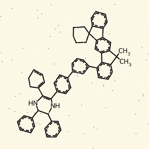 CC1(C)c2cc3c(cc2-c2c(-c4cccc(-c5ccc(C6=C(C7=CC=CCC7)NC(c7ccccc7)C(c7ccccc7)N6)cc5)c4)cccc21)C1(CCCCC1)c1ccccc1-3